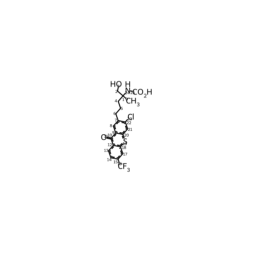 CC(CO)(CCCc1cc2c(=O)c3ccc(C(F)(F)F)cc3sc2cc1Cl)NC(=O)O